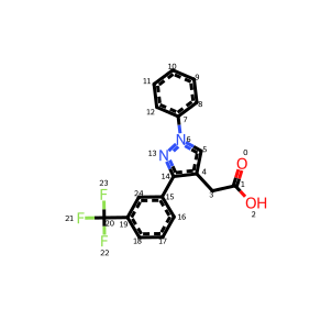 O=C(O)Cc1cn(-c2ccccc2)nc1-c1cccc(C(F)(F)F)c1